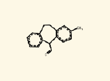 Cc1ccc2c(c1)CCc1ccccc1C2C=O